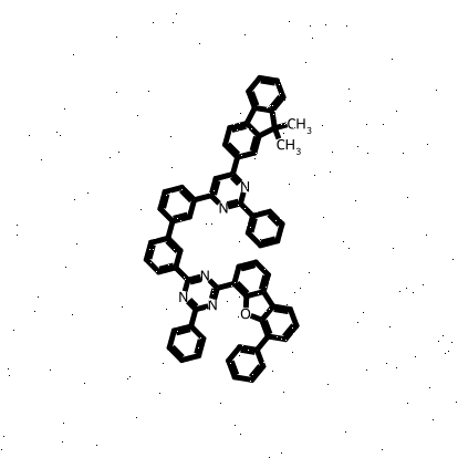 CC1(C)c2ccccc2-c2ccc(-c3cc(-c4cccc(-c5cccc(-c6nc(-c7ccccc7)nc(-c7cccc8c7oc7c(-c9ccccc9)cccc78)n6)c5)c4)nc(-c4ccccc4)n3)cc21